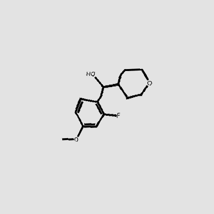 COc1ccc(C(O)C2CCOCC2)c(F)c1